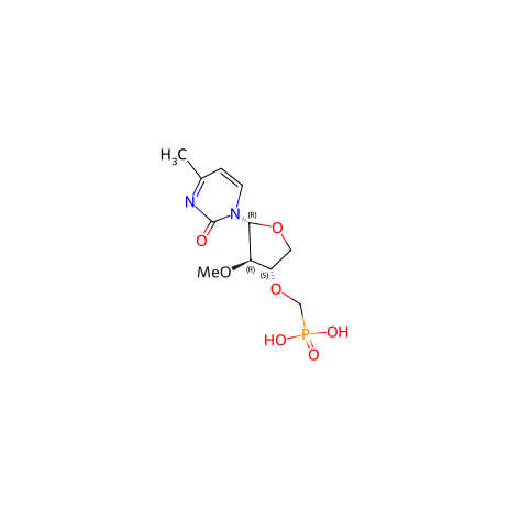 CO[C@@H]1[C@@H](OCP(=O)(O)O)CO[C@H]1n1ccc(C)nc1=O